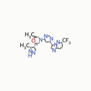 Cc1[nH]ncc1[C@H]1CN(c2cc(-c3cnc4ccc(C(F)(F)F)nn34)ncn2)C[C@@H](C)O1